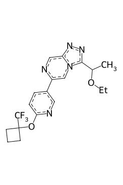 CCOC(C)c1nnc2cnc(-c3ccc(OC4(C(F)(F)F)CCC4)nc3)cn12